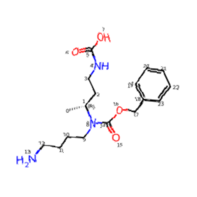 C[C@H](CCNC(=O)O)N(CCCCN)C(=O)OCc1ccccc1